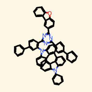 c1ccc(-c2ccc(-c3nc(-c4ccc5oc6ccccc6c5c4)nc(-c4ccc(-c5ccccc5)cc4-n4c5ccccc5c5c(-c6cccc7c6c6ccccc6n7-c6ccccc6)cccc54)n3)cc2)cc1